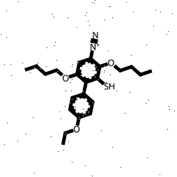 CCCCOc1cc([N+]#N)c(OCCCC)c(S)c1-c1ccc(OCC)cc1